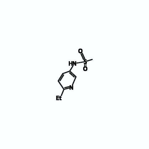 CCc1ccc(NS(C)(=O)=O)cn1